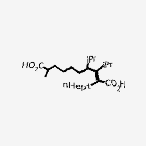 CCCCCCCC(C(=O)O)=C(C(C)C)C(CCCCC(C)C(=O)O)C(C)C